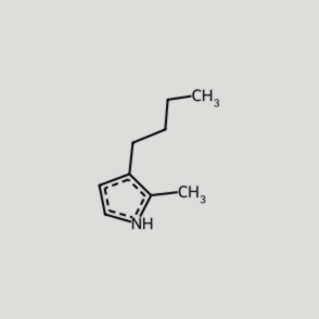 CCCCc1cc[nH]c1C